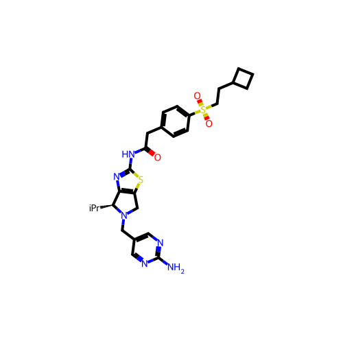 CC(C)[C@H]1c2nc(NC(=O)Cc3ccc(S(=O)(=O)CCC4CCC4)cc3)sc2CN1Cc1cnc(N)nc1